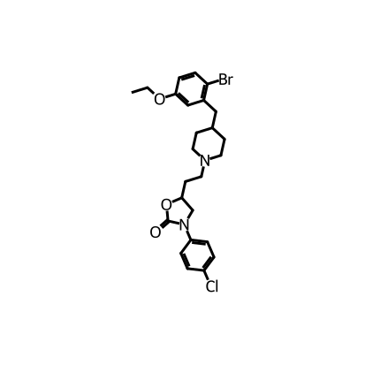 CCOc1ccc(Br)c(CC2CCN(CCC3CN(c4ccc(Cl)cc4)C(=O)O3)CC2)c1